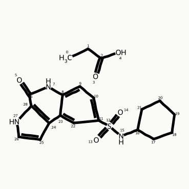 CCC(=O)O.O=c1[nH]c2ccc(S(=O)(=O)NC3CCCCC3)cc2c2cc[nH]c12